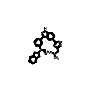 CN(C)Cc1n[nH]c(-c2ccc3[nH]nc(-c4cccc(N(C=O)C5Cc6ccccc6C5)c4)c3c2)n1